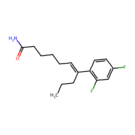 CCC/C(=C\CCCCC(N)=O)c1ccc(F)cc1F